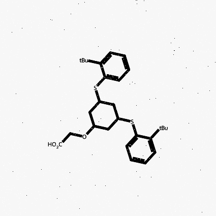 CC(C)(C)c1ccccc1SC1CC(OCC(=O)O)CC(Sc2ccccc2C(C)(C)C)C1